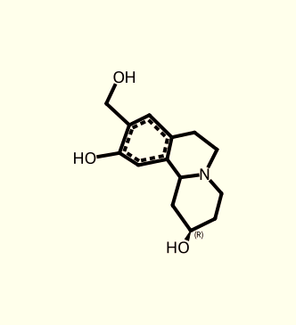 OCc1cc2c(cc1O)C1C[C@H](O)CCN1CC2